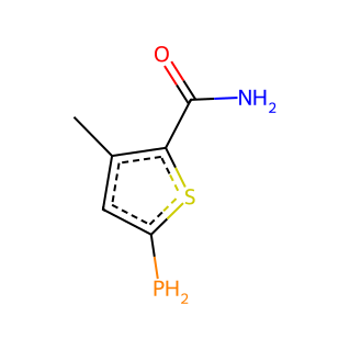 Cc1cc(P)sc1C(N)=O